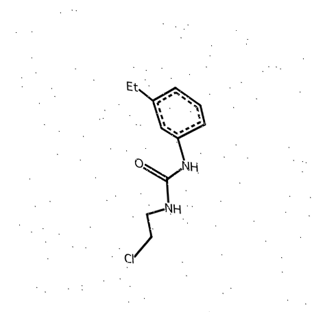 CCc1cccc(NC(=O)NCCCl)c1